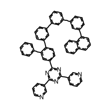 c1ccc(-c2cc(-c3nc(-c4cccnc4)nc(-c4cccnc4)n3)ccc2-c2cccc(-c3cccc(-c4cccc(-c5cccc6ccccc56)c4)c3)c2)cc1